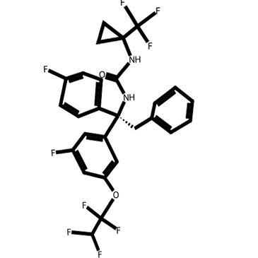 O=C(NC1(C(F)(F)F)CC1)N[C@](Cc1ccccc1)(c1ccc(F)cc1)c1cc(F)cc(OC(F)(F)C(F)F)c1